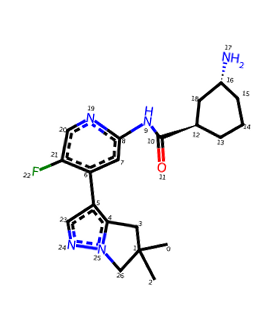 CC1(C)Cc2c(-c3cc(NC(=O)[C@@H]4CCC[C@@H](N)C4)ncc3F)cnn2C1